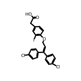 O=C(O)Cc1ccc(OCC=C(c2ccc(Cl)cc2)c2ccc(Cl)cc2)c(I)c1